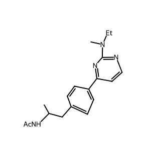 CCN(C)c1nccc(-c2ccc(CC(C)NC(C)=O)cc2)n1